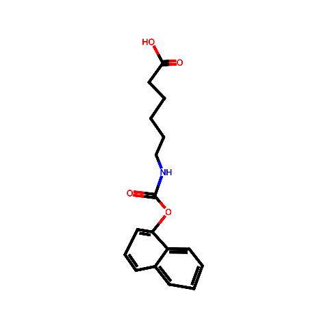 O=C(O)CCCCCNC(=O)Oc1cccc2ccccc12